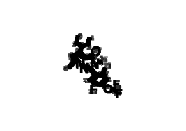 CCC(CC)c1cc(C)n2nc(-c3cc(F)c(OC(F)F)cc3C)n(C)c(=O)c12